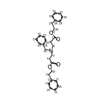 O=C(CCN(CCC(=O)OCCc1ccccc1)Cc1ccccc1)OCCc1ccccc1